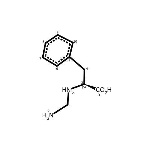 NCN[C@@H](Cc1ccccc1)C(=O)O